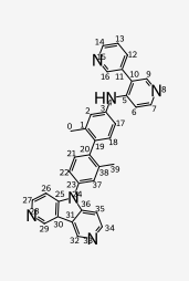 Cc1cc(Nc2ccncc2-c2cccnc2)ccc1-c1ccc(-n2c3ccncc3c3cnccc32)cc1C